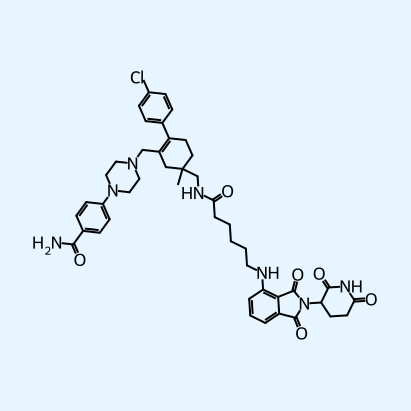 CC1(CNC(=O)CCCCCNc2cccc3c2C(=O)N(C2CCC(=O)NC2=O)C3=O)CCC(c2ccc(Cl)cc2)=C(CN2CCN(c3ccc(C(N)=O)cc3)CC2)C1